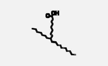 CCCCCCCCC=CC(CCCCCCC)CCCCCCCC(=O)O